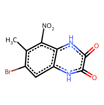 Cc1c(Br)cc2[nH]c(=O)c(=O)[nH]c2c1[N+](=O)[O-]